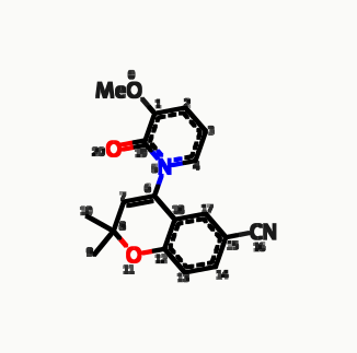 COc1cccn(C2=CC(C)(C)Oc3ccc(C#N)cc32)c1=O